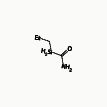 CCC[SiH2]C(N)=O